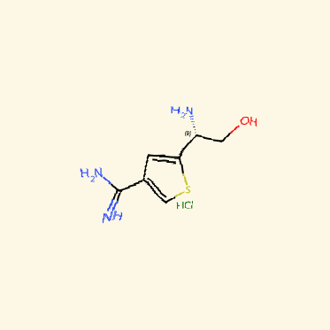 Cl.N=C(N)c1csc([C@H](N)CO)c1